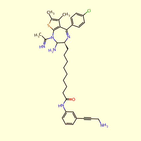 CC(=N)N1c2sc(C)c(C)c2C(c2ccc(Cl)cc2)=N[C@@H](CCCCCCCCC(=O)Nc2cccc(C#CCN)c2)C1N